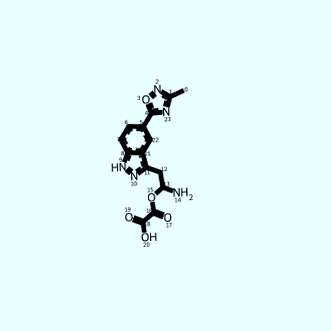 Cc1noc(-c2ccc3[nH]nc(CC(N)OC(=O)C(=O)O)c3c2)n1